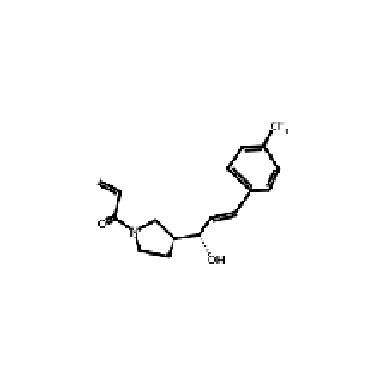 C=CC(=O)N1CC[C@H]([C@@H](O)/C=C/c2ccc(C(F)(F)F)cc2)C1